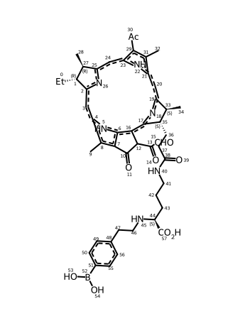 CC[C@H]1c2cc3[nH]c4c(c3C)C(=O)C(C(=O)C=O)c4c3nc(cc4[nH]c(cc(n2)[C@@H]1C)c(C(C)=O)c4C)[C@@H](C)[C@@H]3CCC(=O)NCCC[C@H](NCCc1ccc(B(O)O)cc1)C(=O)O